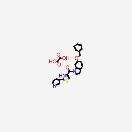 O=C(C1=CSC(c2cccnc2)N1)n1ccc2ccc(OCc3ccccc3)cc21.O=C(O)C(=O)O